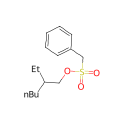 CCCCC(CC)COS(=O)(=O)Cc1ccccc1